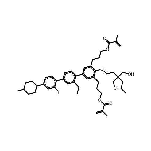 C=C(C)C(=O)OCCCc1cc(-c2ccc(-c3ccc(C4CCC(C)CC4)cc3F)cc2CC)cc(CCCOC(=O)C(=C)C)c1OCCC(CO)(CO)CCC